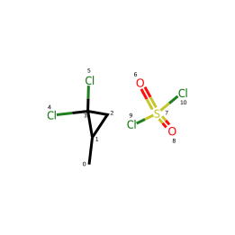 CC1CC1(Cl)Cl.O=S(=O)(Cl)Cl